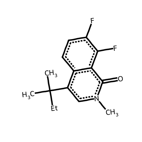 CCC(C)(C)c1cn(C)c(=O)c2c(F)c(F)ccc12